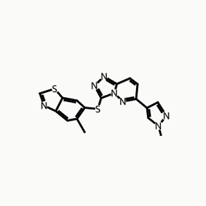 Cc1cc2ncsc2cc1Sc1nnc2ccc(-c3cnn(C)c3)nn12